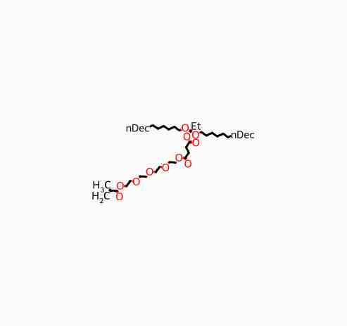 C=C(C)C(=O)OCCOCCOCCOCCOC(=O)CCC(=O)OC(CC)(OCCCCCCCCCCCCCCCC)OCCCCCCCCCCCCCCCC